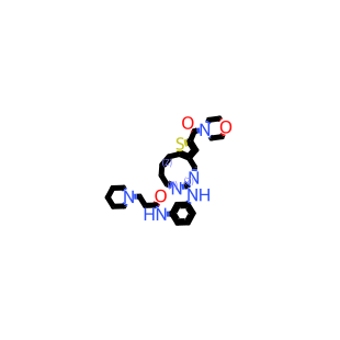 O=C(CCN1CCCCC1)Nc1cccc(NC2=N/Cc3cc(C(=O)N4CCOCC4)sc3/C=C\C/C=N\2)c1